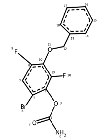 NC(=O)Oc1c(Br)cc(F)c(OCc2ccccc2)c1F